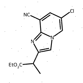 CCOC(=O)C(C)c1cn2cc(Cl)cc(C#N)c2n1